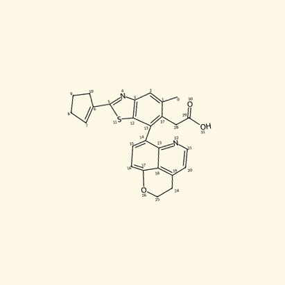 Cc1cc2nc(C3=CCCC3)sc2c(-c2ccc3c4c(ccnc24)CCO3)c1CC(=O)O